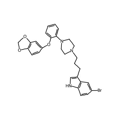 Brc1ccc2[nH]cc(CCCN3CCN(c4ccccc4Oc4ccc5c(c4)OCO5)CC3)c2c1